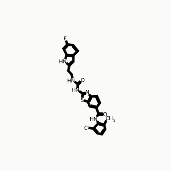 Cc1cccc(Cl)c1NC(=O)c1ccc2nc(NC(=O)NCCc3cc4ccc(F)cc4[nH]3)sc2c1